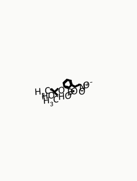 CCC(O)(CC)COc1cccc2c1B(O)OC2C[N+](=O)[O-]